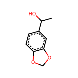 C[C](O)c1ccc2c(c1)OCO2